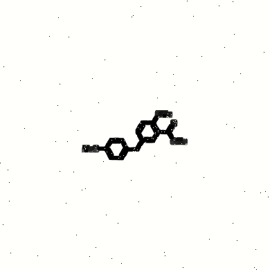 COC(=O)c1cc(Cc2ccc(OC)cc2)ccc1OC